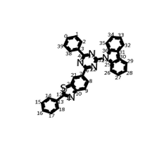 c1ccc(-c2nc(-c3ccc4nc(-c5ccccc5)sc4c3)nc(-n3c4ccccc4c4ccccc43)n2)cc1